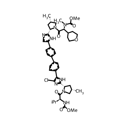 COC(=O)N[C@H](C(=O)N1C[C@@H](C)C[C@H]1c1nc(Cl)c(-c2ccc(-c3ccc(-c4cnc([C@@H]5C[C@H](C)CN5C(=O)[C@H](C5CCOCC5)N(C)C(=O)OC)[nH]4)cc3)cc2)[nH]1)C(C)C